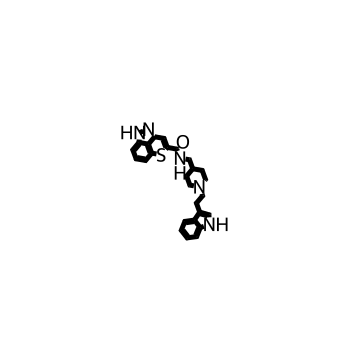 O=C(NCC1CCN(CCc2c[nH]c3ccccc23)CC1)C1=Cc2n[nH]c3cccc(c23)S1